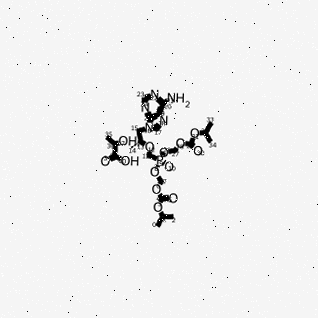 CC(C)OC(=O)OCOP(=O)(CO[C@H](C)Cn1cnc2c(N)ncnc21)OCOC(=O)OC(C)C.CC(O)C(=O)O